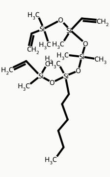 C=C[Si](C)(C)O[Si](C)(C=C)O[Si](C)(C)O[Si](C)(CCCCCC)O[Si](C)(C)C=C